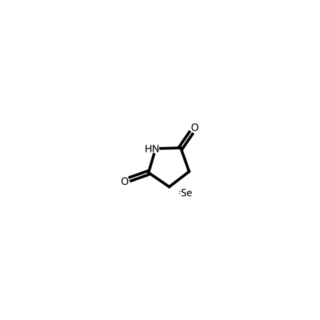 O=C1CCC(=O)N1.[Se]